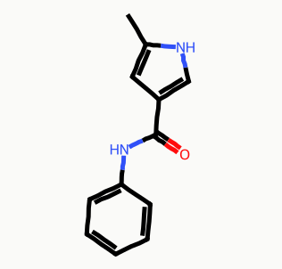 Cc1cc(C(=O)Nc2ccccc2)c[nH]1